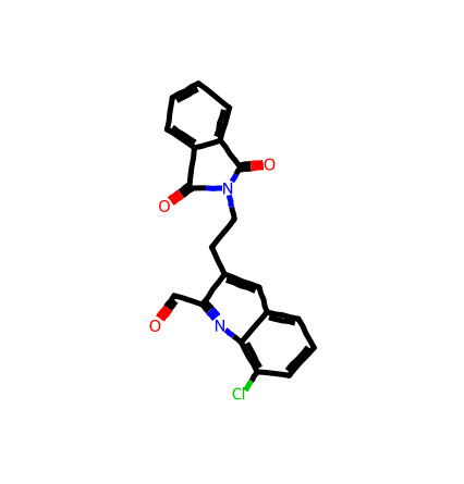 O=Cc1nc2c(Cl)cccc2cc1CCN1C(=O)c2ccccc2C1=O